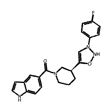 O=C(c1ccc2[nH]ccc2c1)N1CCC[C@H](C2=CN(c3ccc(F)cc3)NO2)C1